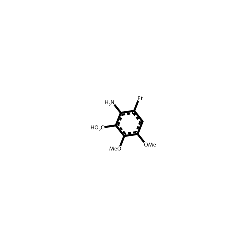 CCc1cc(OC)c(OC)c(C(=O)O)c1N